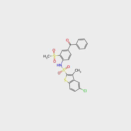 Cc1c(S(=O)(=O)Nc2ccc(C(=O)c3ccccc3)cc2S(C)(=O)=O)sc2ccc(Cl)cc12